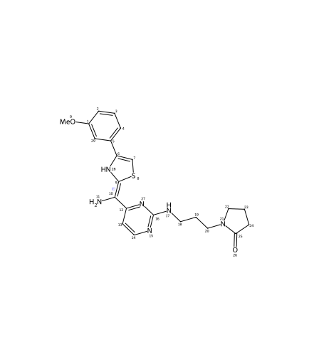 COc1cccc(C2=CS/C(=C(/N)c3ccnc(NCCCN4CCCC4=O)n3)N2)c1